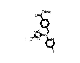 COC(=O)c1ccc(CN(c2ccc(F)cn2)c2nc(C)ns2)cc1